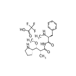 CN[C@@H](Cc1ccccc1)C(=O)NC(=O)[C@H](C)[C@@H](OC)[C@@H]1CCCN1.O=C(O)C(F)(F)F